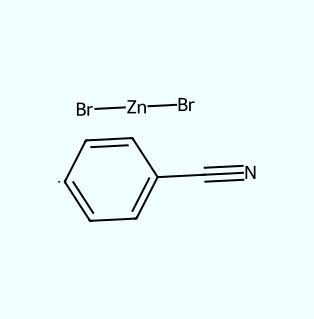 N#Cc1cc[c]cc1.[Br][Zn][Br]